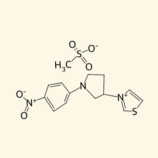 CS(=O)(=O)[O-].O=[N+]([O-])c1ccc(N2CCC([n+]3ccsc3)C2)cc1